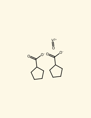 O=C([O-])C1CCCC1.O=C([O-])C1CCCC1.[O]=[V+2]